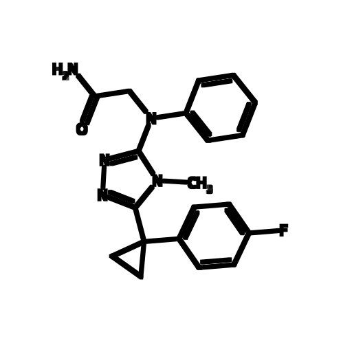 Cn1c(N(CC(N)=O)c2ccccc2)nnc1C1(c2ccc(F)cc2)CC1